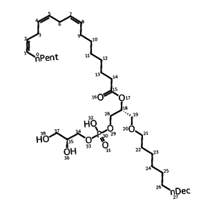 CCCCC/C=C\C/C=C\C/C=C\CCCCCCC(=O)O[C@H](COCCCCCCCCCCCCCCCC)COP(=O)(O)OC[C@@H](O)CO